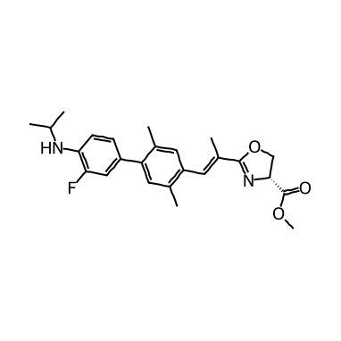 COC(=O)[C@H]1COC(/C(C)=C/c2cc(C)c(-c3ccc(NC(C)C)c(F)c3)cc2C)=N1